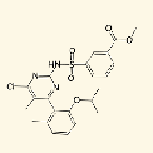 COC(=O)c1cccc(S(=O)(=O)Nc2nc(Cl)c(C)c(-c3c(C)cccc3OC(C)C)n2)c1